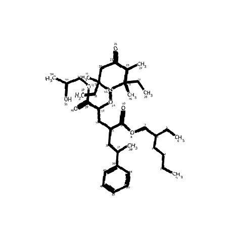 CCCCC(CC)COC(=O)C(CC(ON1C(C)(CC)CC(=O)C(C)C1(C)CC)C(=O)OCC(C)O)CC(C)c1ccccc1